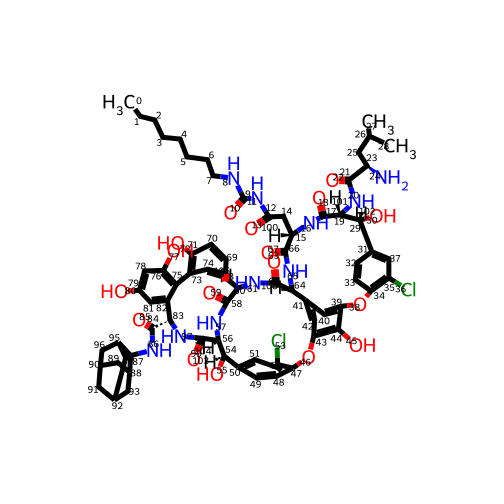 CCCCCCCCNC(=O)NC(=O)C[C@@H]1NC(=O)[C@H](NC(=O)[C@H](N)CC(C)C)[C@H](O)c2ccc(c(Cl)c2)Oc2cc3cc(c2O)Oc2ccc(cc2Cl)[C@@H](O)[C@@H]2NC(=O)[C@H](NC(=O)[C@@H]3NC1=O)c1ccc(O)c(c1)-c1c(O)cc(O)cc1[C@@H](C(=O)NC1C3CC4CC(C3)CC1C4)NC2=O